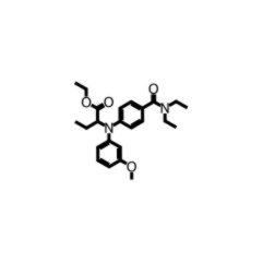 CCOC(=O)C(CC)N(c1ccc(C(=O)N(CC)CC)cc1)c1cccc(OC)c1